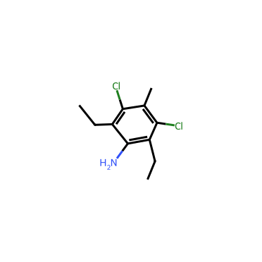 CCc1c(N)c(CC)c(Cl)c(C)c1Cl